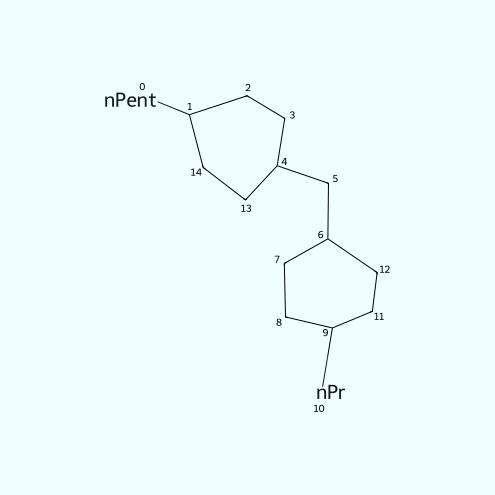 CCCCCC1CCC(CC2CCC(CCC)CC2)CC1